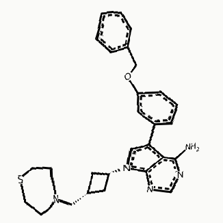 Nc1ncnc2c1c(-c1cccc(OCc3ccccc3)c1)cn2[C@H]1C[C@@H](CN2CCSCC2)C1